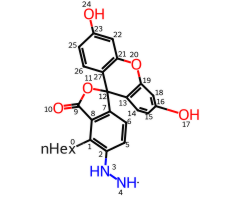 CCCCCCc1c(N[NH])ccc2c1C(=O)OC21c2ccc(O)cc2Oc2cc(O)ccc21